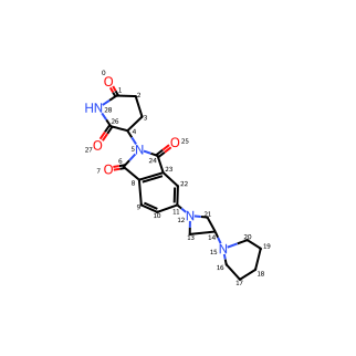 O=C1CCC(N2C(=O)c3ccc(N4CC(N5CCCCC5)C4)cc3C2=O)C(=O)N1